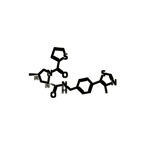 Cc1ncsc1-c1ccc(CNC(=O)[C@@H]2C[C@@H](C)CN2C(=O)c2cccs2)cc1